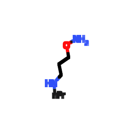 CCCNCCCON